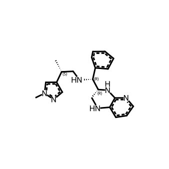 C[C@H](CN[C@H](c1ccccc1)[C@H]1CNc2cccnc2N1)c1cnn(C)c1